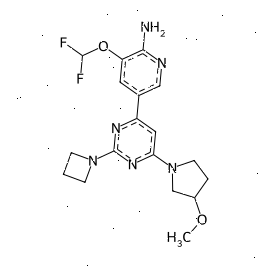 COC1CCN(c2cc(-c3cnc(N)c(OC(F)F)c3)nc(N3CCC3)n2)C1